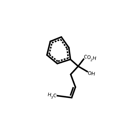 C/C=C\CC(O)(C(=O)O)c1ccccc1